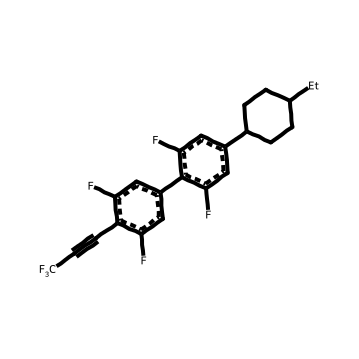 CCC1CCC(c2cc(F)c(-c3cc(F)c(C#CC(F)(F)F)c(F)c3)c(F)c2)CC1